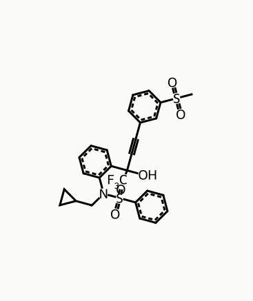 CS(=O)(=O)c1cccc(C#CC(O)(c2ccccc2N(CC2CC2)S(=O)(=O)c2ccccc2)C(F)(F)F)c1